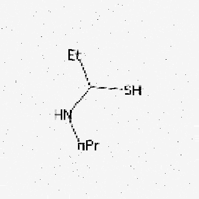 CCCNC(S)CC